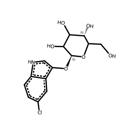 OCC1O[C@@H](Oc2c[nH]c3ccc(Cl)cc23)C(O)C(O)[C@@H]1O